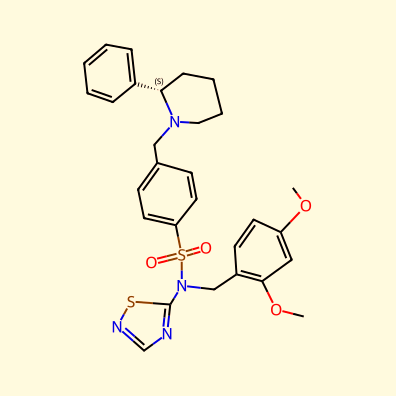 COc1ccc(CN(c2ncns2)S(=O)(=O)c2ccc(CN3CCCC[C@H]3c3ccccc3)cc2)c(OC)c1